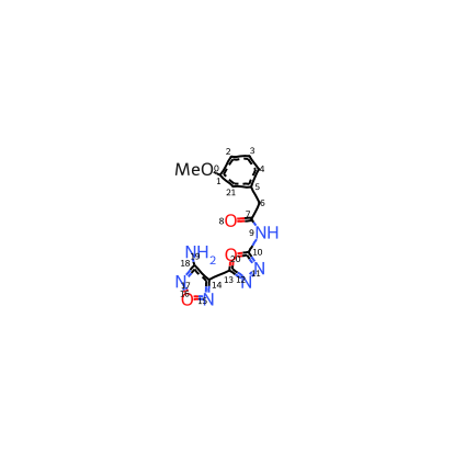 COc1cccc(CC(=O)Nc2nnc(-c3nonc3N)o2)c1